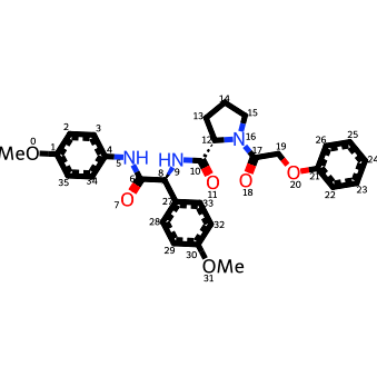 COc1ccc(NC(=O)[C@@H](NC(=O)[C@@H]2CCCN2C(=O)COc2ccccc2)c2ccc(OC)cc2)cc1